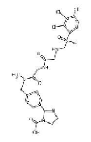 CN(Cc1ccc(C2=NCCN2C(=O)O)cc1)C(=O)CNC(=O)CNCS(=O)(=O)c1ccc(Cl)c(Cl)c1Cl